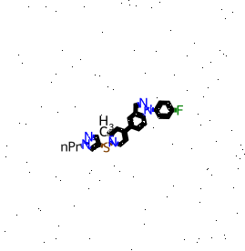 CCCn1cc(SN2CC=C(c3ccc4c(cnn4-c4ccc(F)cc4)c3)C[C@H]2C)cn1